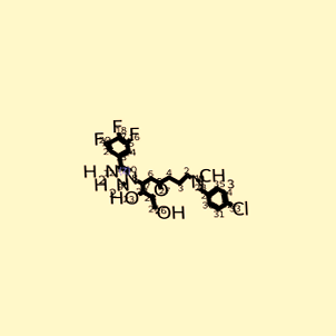 CN(CCCC1CC(N(N)/C=C(\N)c2cc(F)c(F)c(F)c2)C(O)C(CO)O1)Cc1ccc(Cl)cc1